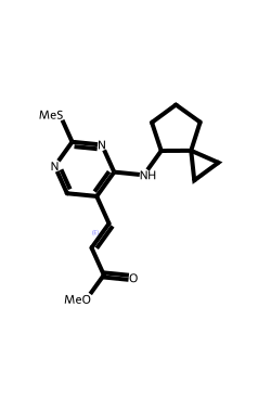 COC(=O)/C=C/c1cnc(SC)nc1NC1CCCC12CC2